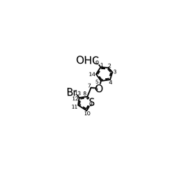 O=Cc1cccc(OCc2sccc2Br)c1